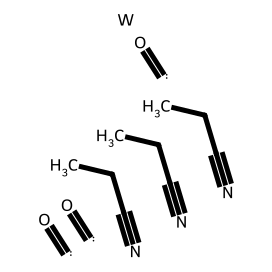 CCC#N.CCC#N.CCC#N.[C]=O.[C]=O.[C]=O.[W]